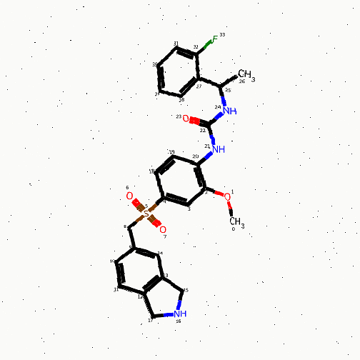 COc1cc(S(=O)(=O)Cc2ccc3c(c2)CNC3)ccc1NC(=O)NC(C)c1ccccc1F